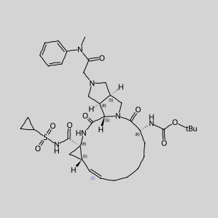 CN(C(=O)CN1C[C@H]2CN3C(=O)[C@H](NC(=O)OC(C)(C)C)CCCCC/C=C\[C@@H]4C[C@@]4(C(=O)NS(=O)(=O)C4CC4)NC(=O)[C@@H]3[C@H]2C1)c1ccccc1